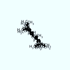 Cc1cc(C2=CCN(/C(=N/C(=O)OC(C)(C)C)NC(=O)OC(C)(C)C)CC2)c(F)cc1NC(=O)c1ccc(C2=CCN(/C(=N/C(=O)OC(C)(C)C)NC(=O)OC(C)(C)C)CC2)c(F)c1